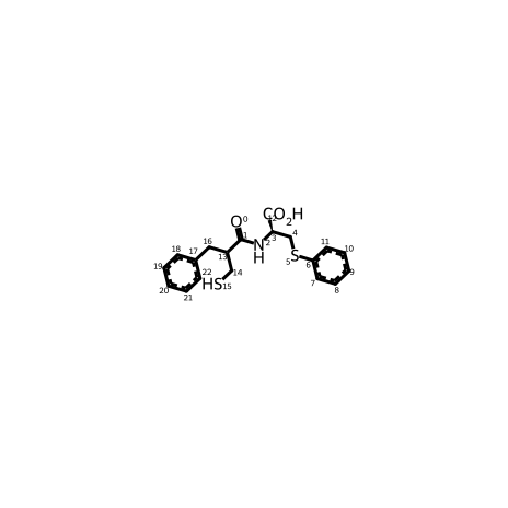 O=C(N[C@H](CSc1ccccc1)C(=O)O)C(CS)Cc1ccccc1